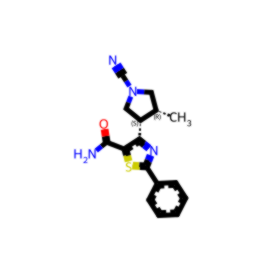 C[C@H]1CN(C#N)C[C@H]1c1nc(-c2ccccc2)sc1C(N)=O